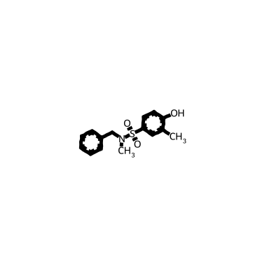 Cc1cc(S(=O)(=O)N(C)Cc2ccccc2)ccc1O